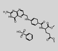 COC(=O)CCC(NC(=O)C1C=CC(NCc2cnc3nc(N)[nH]c(=O)c3n2)=CC1)C(=O)OC.O=S(=O)(O)c1ccccc1